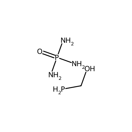 NP(N)(N)=O.OCP